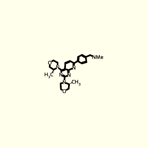 CNCc1ccc(-c2ccc3c(N4CCOC[C@@H]4C)nc(N4CCOC[C@H]4C)nc3n2)cc1